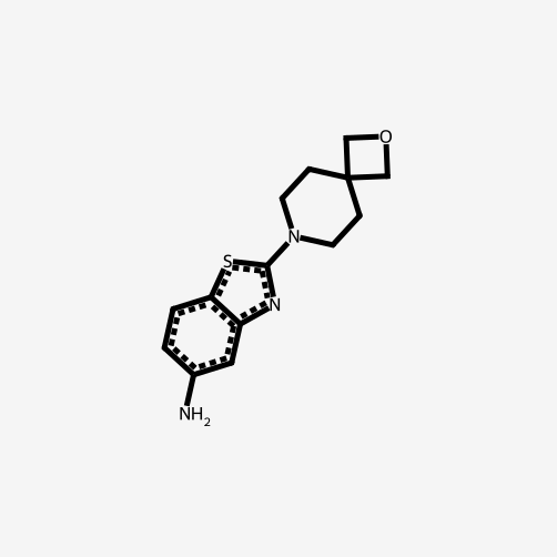 Nc1ccc2sc(N3CCC4(CC3)COC4)nc2c1